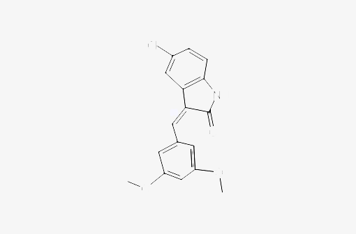 COc1cc(/C=C2\C(=O)Nc3ccc(Cl)cc32)cc(OC)c1